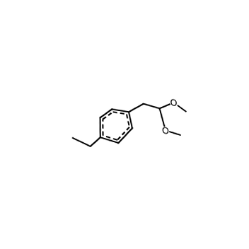 CCc1ccc(CC(OC)OC)cc1